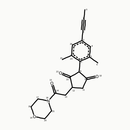 CC#Cc1cc(C)c(C2C(=O)CC(CC(=O)N3CCOCC3)C2=O)c(C)c1